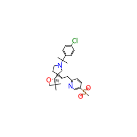 CC1(C)CO[C@@H]1[C@]1(CCc2ccc(S(C)(=O)=O)cn2)CCN(C(C)(C)c2ccc(Cl)cc2)C1